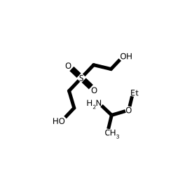 CCOC(C)N.O=S(=O)(CCO)CCO